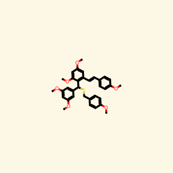 COc1ccc(/C=C/c2cc(OC)cc(OC)c2C(SCc2ccc(OC)cc2)c2cc(OC)cc(OC)c2)cc1